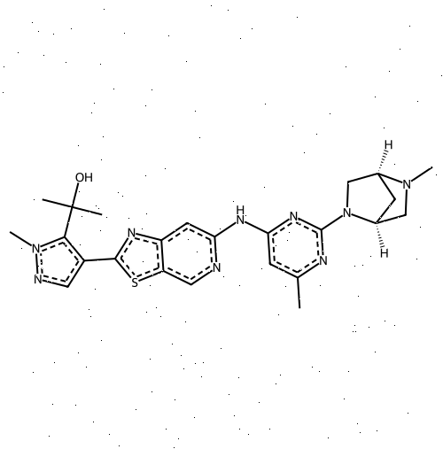 Cc1cc(Nc2cc3nc(-c4cnn(C)c4C(C)(C)O)sc3cn2)nc(N2C[C@@H]3C[C@H]2CN3C)n1